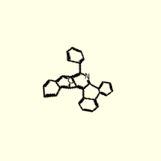 c1ccc(-c2nc3c4ccccc4c4ccccc4c3c3c4oc(c5ccccc54)c23)cc1